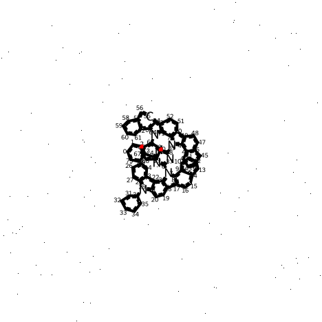 c1ccc(-c2nc(-n3c4c5ccccc5ccc4c4ccc5c(c6ccccc6n5-c5ccccc5)c43)nc(-n3c4c5ccccc5ccc4c4ccc5c6ccc7ccccc7c6n(-c6ccccc6)c5c43)n2)cc1